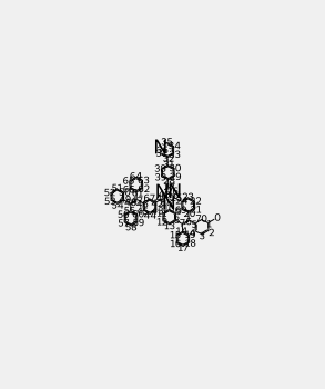 CC1C=CC=C(C(=C(c2ccccc2)c2ccccc2)c2cccc(-c3nc(-c4ccc(-c5cccnc5)cc4)nc(-c4cccc(C(=C(c5ccccc5)c5ccccc5)c5ccccc5)c4)n3)c2)C1